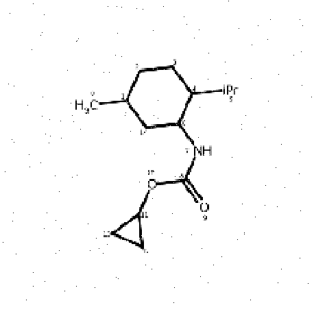 CC1CCC(C(C)C)C(NC(=O)OC2CC2)C1